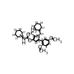 COc1ccc(OC)c(-c2cc(OC(=O)NN3CCCCC3)c(C)n2CC2CCCCC2)c1